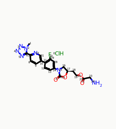 Cl.Cn1nnnc1-c1ccc(-c2ccc(N3C[C@@H](CCOC(=O)CN)OC3=O)cc2F)cn1